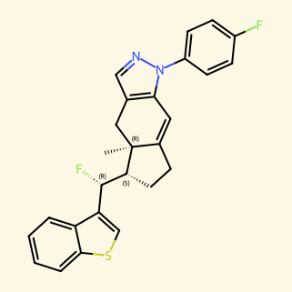 C[C@]12Cc3cnn(-c4ccc(F)cc4)c3C=C1CC[C@@H]2[C@@H](F)c1csc2ccccc12